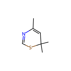 CC1=CC(C)(C)SC=N1